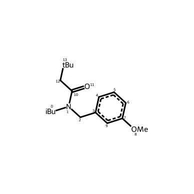 CCC(C)N(Cc1cccc(OC)c1)C(=O)CC(C)(C)C